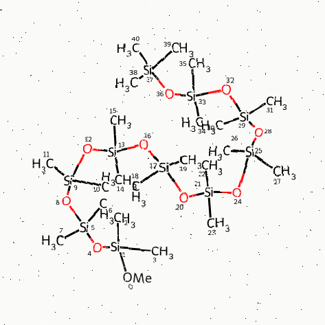 CO[Si](C)(C)O[Si](C)(C)O[Si](C)(C)O[Si](C)(C)O[Si](C)(C)O[Si](C)(C)O[Si](C)(C)O[Si](C)(C)O[Si](C)(C)O[Si](C)(C)C